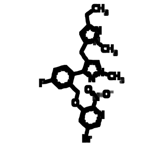 CCc1cc(Cc2cn(C)nc2-c2ccc(F)cc2COc2cc(Br)cnc2[N+](=O)[O-])n(C)n1